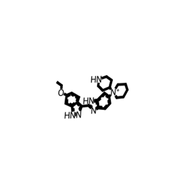 CCOc1ccc2c(-c3nc4ccc([N+]5(C6CCNCC6)CCCCC5)cc4[nH]3)n[nH]c2c1